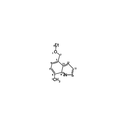 CCOCc1ccc(C)c2ncccc12